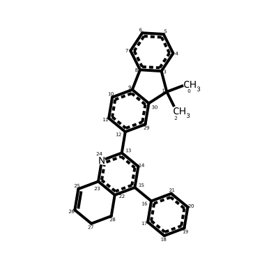 CC1(C)c2ccccc2-c2ccc(-c3cc(-c4ccccc4)c4c(n3)C=CCC4)cc21